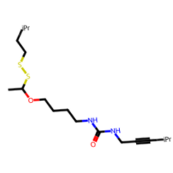 CC(C)C#CCNC(=O)NCCCCOC(C)SSCCC(C)C